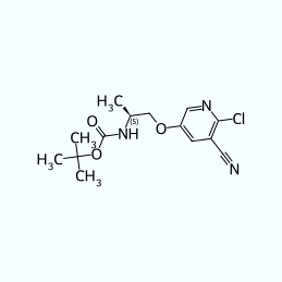 C[C@@H](COc1cnc(Cl)c(C#N)c1)NC(=O)OC(C)(C)C